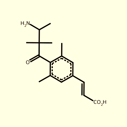 Cc1cc(/C=C/C(=O)O)cc(C)c1C(=O)C(C)(C)C(C)N